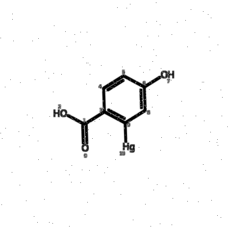 O=C(O)c1ccc(O)c[c]1[Hg]